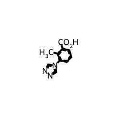 Cc1c(C(=O)O)cccc1-n1cnnc1